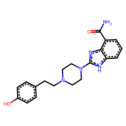 NC(=O)c1cccc2[nH]c(N3CCN(CCc4ccc(O)cc4)CC3)nc12